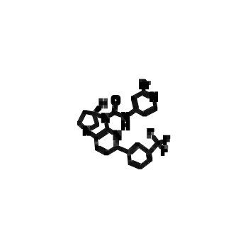 O=C(Nc1ccnc(Br)c1)N1c2nc(-c3cccc(C(F)(F)F)c3)ccc2N2CC[C@H]1C2